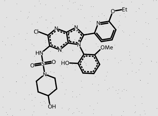 CCOC1=NC(c2nc3nc(Cl)c(NS(=O)(=O)N4CCC(O)CC4)nc3n2-c2c(O)cccc2OC)=C=C=C1